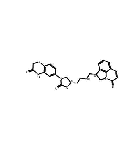 O=C1COc2ccc(N3C[C@H](CCNC[C@@H]4Cn5c(=O)ccc6cccc4c65)OC3=O)cc2N1